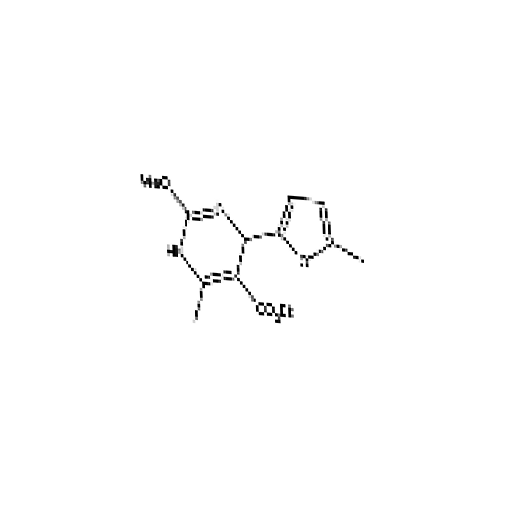 CCOC(=O)C1=C(C)NC(OC)=NC1c1ccc(C)o1